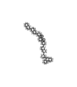 c1cc(-c2ccc3cc(-c4ccc5oc6c(ccc7c8cc(-c9ccc%10cc(-c%11ccc%12ccccc%12c%11)ccc%10c9)ccc8oc76)c5c4)ccc3c2)cc(-c2cc3ccccc3c3ccccc23)c1